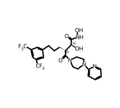 O=C(NO)[C@@H](O)[C@@H](CCCc1cc(C(F)(F)F)cc(C(F)(F)F)c1)C(=O)N1CCN(c2ccccn2)CC1